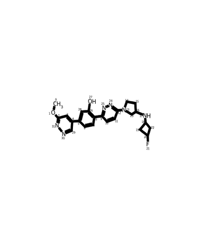 COc1cc(-c2ccc(-c3ccc(N4CCC(NC5CC(F)C5)C4)nn3)c(O)c2)cnn1